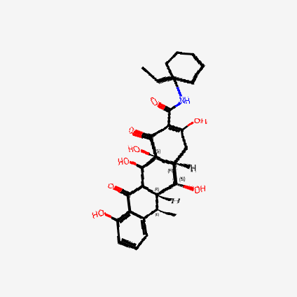 CCC1(NC(=O)C2=C(O)C[C@@H]3[C@@H](O)[C@H]4C(C(=O)c5c(O)cccc5[C@@H]4C)C(O)[C@]3(O)C2=O)CCCCC1